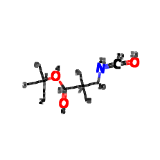 CC(C)(C)OC(=O)C(C)(C)CN=C=O